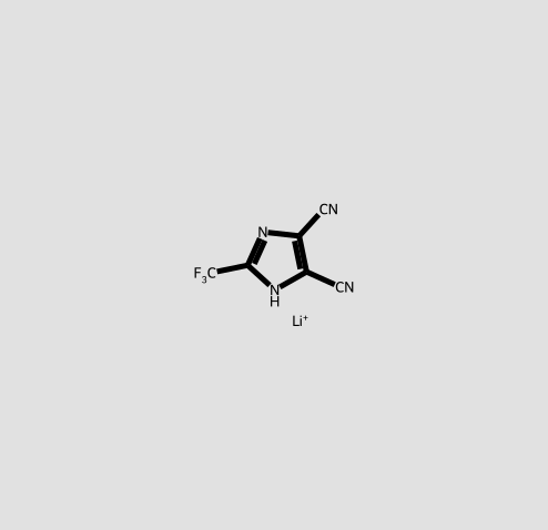 N#Cc1nc(C(F)(F)F)[nH]c1C#N.[Li+]